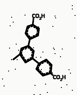 [CH2]c1cc(-c2ccc(C(=O)O)cc2)cc(-c2ccc(C(=O)O)cc2)c1